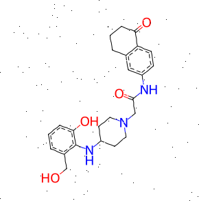 O=C(CN1CCC(Nc2c(O)cccc2CO)CC1)Nc1ccc2c(c1)CCCC2=O